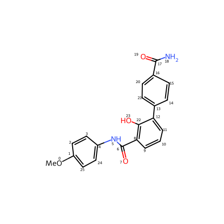 COc1ccc(NC(=O)c2cccc(-c3ccc(C(N)=O)cc3)c2O)cc1